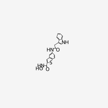 O=C(Cc1c[nH]c2ccccc12)Nc1ccc2sc(C(=O)NO)cc2c1